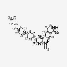 Nc1nc(F)c(-c2ccc(N3CCN(CCCC(F)F)CC3)cc2)nc1-c1cc2c(cc1F)C(=O)NCC2